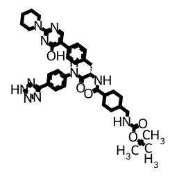 CC(C)(C)OC(=O)NCC1CCC(C(=O)N[C@@H](Cc2ccc(-c3cnc(N4CCCCC4)nc3O)cc2)C(=O)Nc2ccc(-c3nn[nH]n3)cc2)CC1